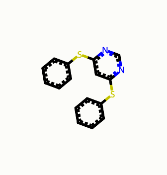 c1ccc(Sc2cc(Sc3ccccc3)ncn2)cc1